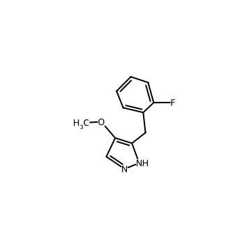 COc1cn[nH]c1Cc1ccccc1F